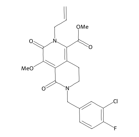 C=CCn1c(C(=O)OC)c2c(c(OC)c1=O)C(=O)N(Cc1ccc(F)c(Cl)c1)CC2